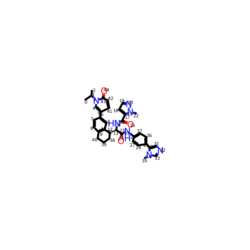 CC(C)n1cc(-c2ccc3c(c2)[C@@H](C(NC(=O)c2ccnn2C)C(=O)Nc2ccc(-c4cncn4C)cc2)CCC3)ccc1=O